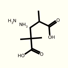 CC(CC(C)(C)C(=O)O)C(=O)O.N.N